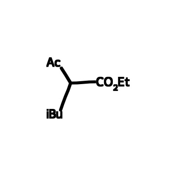 CCOC(=O)C(C(C)=O)C(C)CC